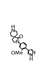 COc1cc(N2CCC3(CCNCC3)C2=O)ccc1-c1cn[nH]c1